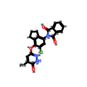 CC(C)c1cc(Oc2c(Cl)cc(N3C(=O)c4ccccc4C3=O)c3c2CCC3)n[nH]c1=O